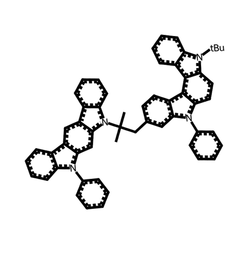 CC(C)(C)n1c2ccccc2c2c3c4ccc(CC(C)(C)n5c6ccccc6c6cc7c8ccccc8n(-c8ccccc8)c7cc65)cc4n(-c4ccccc4)c3ccc21